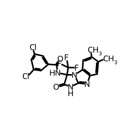 Cc1cc2nc3n(c2cc1C)C(NC(=O)c1cc(Cl)cc(Cl)c1)(C(F)(F)F)C(=O)N3